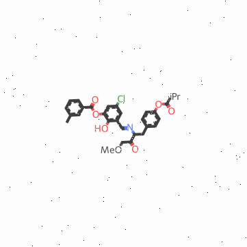 COCC(=O)C(Cc1ccc(OC(=O)C(C)C)cc1)N=Cc1cc(Cl)cc(OC(=O)c2cccc(C)c2)c1O